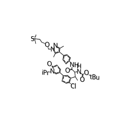 Cc1nn(COCC[Si](C)(C)C)c(C)c1-c1ccc(NC(=O)[C@@H](NC(=O)OC(C)(C)C)C(C)c2cc(-c3ccc(=O)n(C(C)C)c3)ccc2Cl)cc1